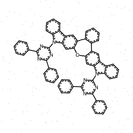 c1ccc(-c2nc(-c3ccccc3)nc(-n3c4ccccc4c4cc5c(cc43)Oc3cc4c(cc3-c3ccccc3-5)c3ccccc3n4-c3nc(-c4ccccc4)nc(-c4ccccc4)n3)n2)cc1